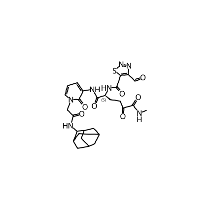 CNC(=O)C(=O)CC[C@H](NC(=O)c1snnc1C=O)C(=O)Nc1cccn(CC(=O)NC2C3CC4CC(C3)CC2C4)c1=O